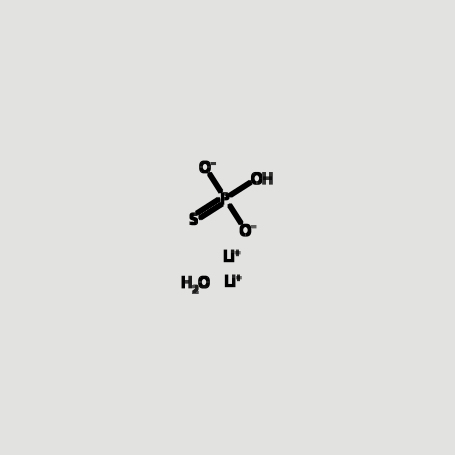 O.[Li+].[Li+].[O-]P([O-])(O)=S